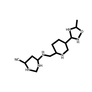 CC1NC(C2CCC(CNC3CC(C#N)NCN3)NC2)NO1